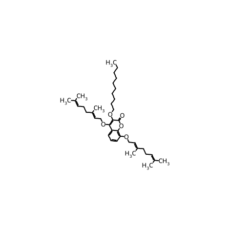 CCCCCCCCCCOc1c(OC/C=C(\C)CCC=C(C)C)c2cccc(OC/C=C(\C)CCC=C(C)C)c2oc1=O